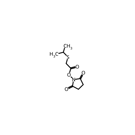 CC(C)SCC(=O)ON1C(=O)CCC1=O